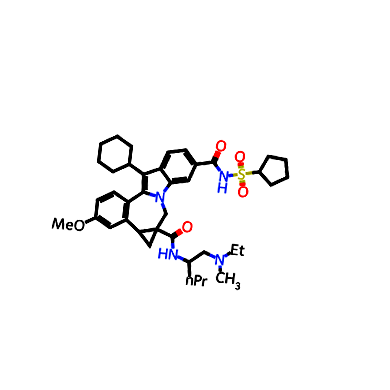 CCCC(CN(C)CC)NC(=O)C12CC1c1cc(OC)ccc1-c1c(C3CCCCC3)c3ccc(C(=O)NS(=O)(=O)C4CCCC4)cc3n1C2